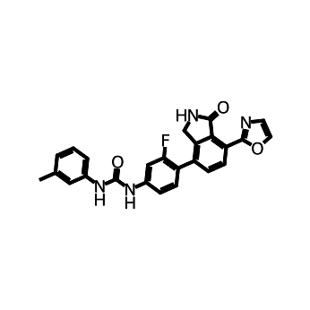 Cc1cccc(NC(=O)Nc2ccc(-c3ccc(-c4ncco4)c4c3CNC4=O)c(F)c2)c1